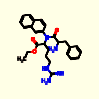 CCOC(=O)C(CCCNC(=N)N)N(C(=O)C(N)Cc1ccccc1)c1ccc2ccccc2c1